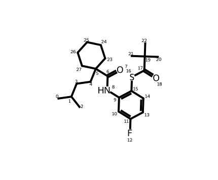 CC(C)CCC1(C(=O)Nc2cc(F)ccc2SC(=O)C(C)(C)C)CCCCC1